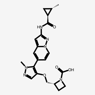 C[C@H]1C[C@@H]1C(=O)Nc1cc2cc(-c3c(OC[C@H]4CCN4C(=O)O)cnn3C)ccn2n1